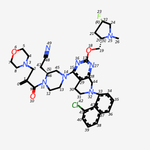 C=C(CN1CCOCC1)C(=O)N1CCN(c2nc(OC[C@@H]3C[C@@H](F)CN3C)nc3c2CCN(c2cccc4cccc(Cl)c24)C3)C[C@@H]1CC#N